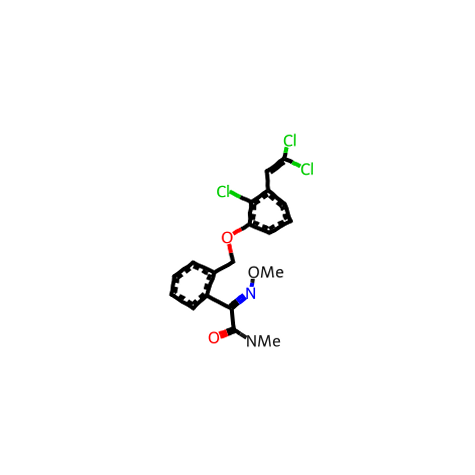 CNC(=O)/C(=N/OC)c1ccccc1COc1cccc(C=C(Cl)Cl)c1Cl